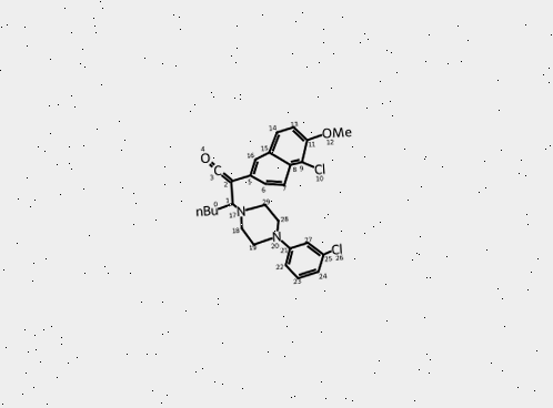 CCCCC(C(=C=O)c1ccc2c(Cl)c(OC)ccc2c1)N1CCN(c2cccc(Cl)c2)CC1